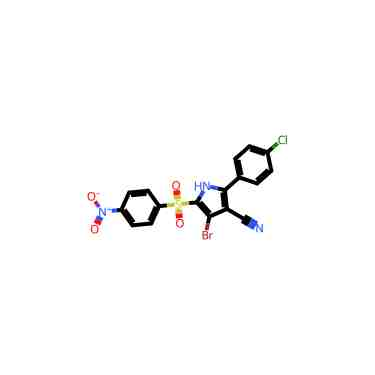 N#Cc1c(-c2ccc(Cl)cc2)[nH]c(S(=O)(=O)c2ccc([N+](=O)[O-])cc2)c1Br